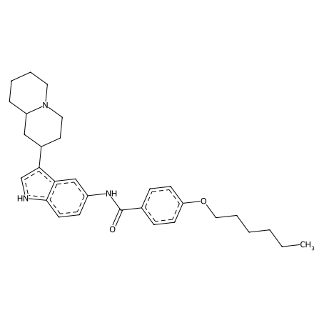 CCCCCCOc1ccc(C(=O)Nc2ccc3[nH]cc(C4CCN5CCCCC5C4)c3c2)cc1